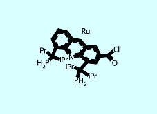 CC(C)C(P)(c1cccc2cc3cc(C(=O)Cl)cc(C(P)(C(C)C)C(C)C)c3nc12)C(C)C.[Ru]